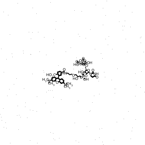 CN(C)c1ccc2c(-c3cc(C(=O)NCCCOCC(O)COP(=O)(O)OC4[C@@H](O)[C@@H](COP(=O)(O)OP(=O)(O)OP(=O)(O)O)O[C@H]4n4ccc(=O)[nH]c4=O)ccc3C(=O)O)c3ccc(=[N+](C)C)cc-3oc2c1